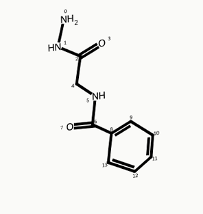 NNC(=O)CNC(=O)c1ccccc1